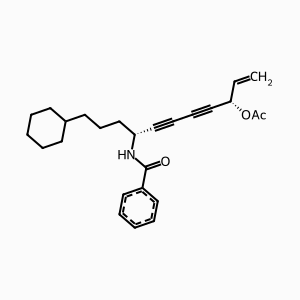 C=C[C@@H](C#CC#C[C@@H](CCCC1CCCCC1)NC(=O)c1ccccc1)OC(C)=O